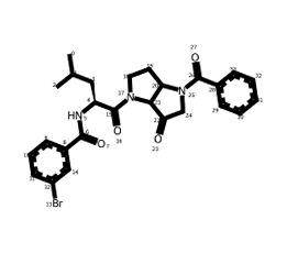 CC(C)C[C@H](NC(=O)c1cccc(Br)c1)C(=O)N1CCC2C1C(=O)CN2C(=O)c1ccccc1